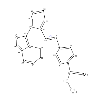 COC(=O)c1ccc(/C=C/c2ccccc2-c2occ3ccccc23)cc1